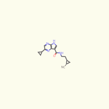 N#C[C@@H]1CC1CCNC(=O)c1c[nH]c2ncc(C3CC3)nc12